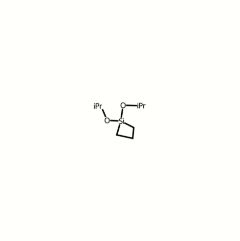 CC(C)O[Si]1(OC(C)C)CCC1